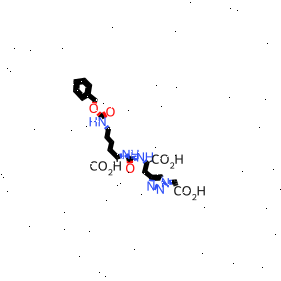 O=C(O)Cn1cc(C[C@H](NC(=O)N[C@@H](CCCCNC(=O)OCc2ccccc2)C(=O)O)C(=O)O)nn1